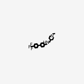 CCN1CCC(CNCc2ccc(-c3ccc(C(F)(F)F)cc3)cc2)CC1